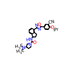 CC(C)Oc1ccc(-c2nc(-c3cccc4c3CC[C@H]4NC(=O)N3CC[C@H](N(C)C)C3)no2)cc1C#N